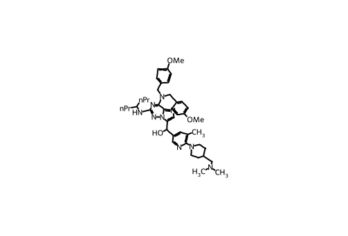 CCCC(CCC)Nc1nc(N(Cc2ccc(OC)cc2)Cc2ccc(OC)cc2)c2ncc(C(O)c3cnc(N4CCC(CN(C)C)CC4)c(C)c3)n2n1